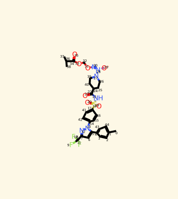 Cc1ccc(-c2cc(C(F)(F)F)nn2-c2ccc(S(=O)(=O)NC(=O)C3CCN(/[N+]([O-])=N\OCOC(=O)C(C)C)CC3)cc2)cc1